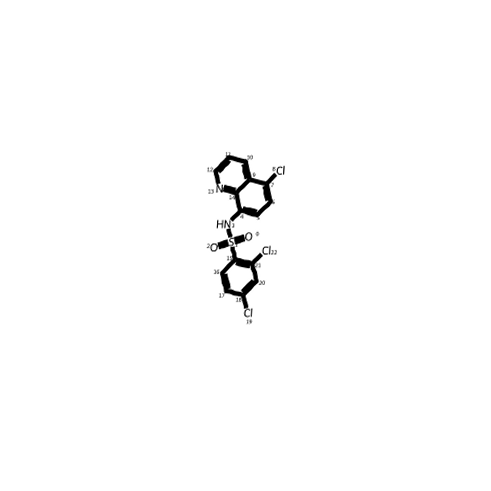 O=S(=O)(Nc1ccc(Cl)c2cccnc12)c1ccc(Cl)cc1Cl